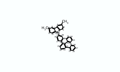 Cc1ccc2c(c1)c1cc(C)ccc1n2-c1ccc(-c2cccc(-c3ccccc3)c2-c2ccccc2)cc1